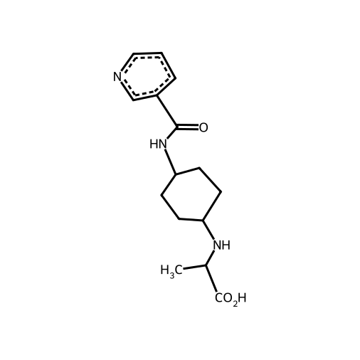 CC(NC1CCC(NC(=O)c2cccnc2)CC1)C(=O)O